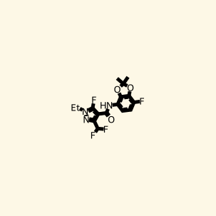 CCn1nc(C(F)F)c(C(=O)Nc2ccc(F)c3c2OC(C)(C)O3)c1F